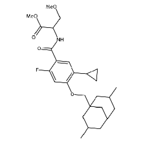 COCC(NC(=O)c1cc(C2CC2)c(OCC23CC(C)CC(CC(C)C2)C3)cc1F)C(=O)OC